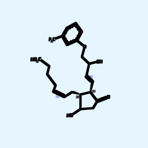 O=C(O)CCC/C=C\C[C@H]1C(O)CC(=O)[C@@H]1/C=C/C(O)COc1cccc(C(F)(F)F)c1